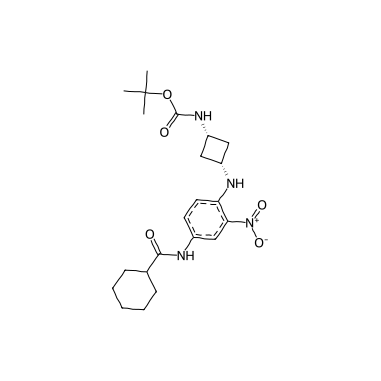 CC(C)(C)OC(=O)N[C@H]1C[C@@H](Nc2ccc(NC(=O)C3CCCCC3)cc2[N+](=O)[O-])C1